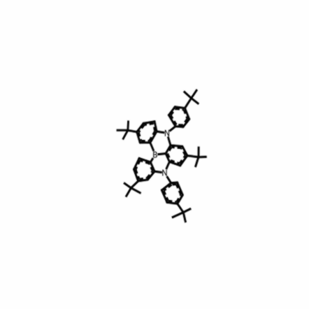 CC(C)(C)c1ccc(N2c3ccc(C(C)(C)C)cc3B3c4ccc(C(C)(C)C)cc4N(c4ccc(C(C)(C)C)cc4)c4cc(C(C)(C)C)cc2c43)cc1